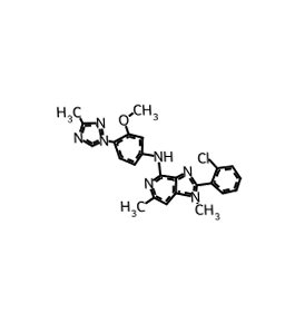 COc1cc(Nc2nc(C)cc3c2nc(-c2ccccc2Cl)n3C)ccc1-n1cnc(C)n1